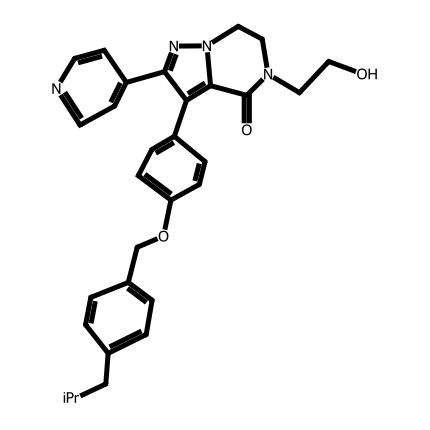 CC(C)Cc1ccc(COc2ccc(-c3c(-c4ccncc4)nn4c3C(=O)N(CCO)CC4)cc2)cc1